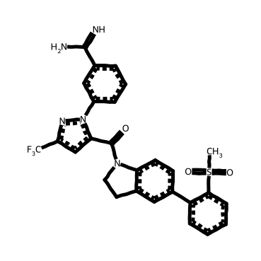 CS(=O)(=O)c1ccccc1-c1ccc2c(c1)CCN2C(=O)c1cc(C(F)(F)F)nn1-c1cccc(C(=N)N)c1